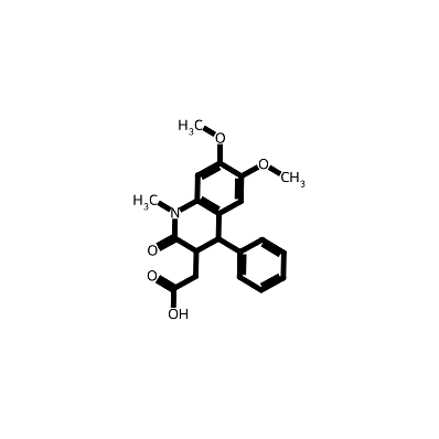 COc1cc2c(cc1OC)N(C)C(=O)C(CC(=O)O)C2c1ccccc1